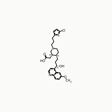 COc1ccc2nccc([C@@H](O)CC[C@@H]3CCN(CCCc4ccc(Cl)s4)C[C@@H]3CC(=O)O)c2c1